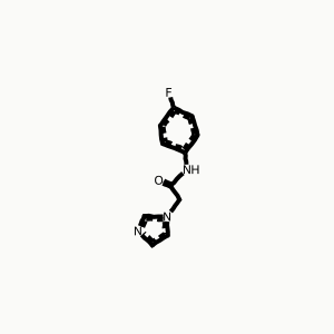 O=C(Cn1ccnc1)Nc1ccc(F)cc1